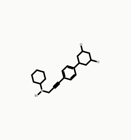 CCN(CC#Cc1ccc(C2CC(Cl)CC(Cl)C2)cc1)C1CCCCC1